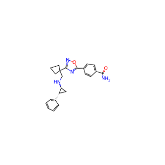 NC(=O)c1ccc(-c2nc(C3(CN[C@H]4C[C@@H]4c4ccccc4)CCC3)no2)cc1